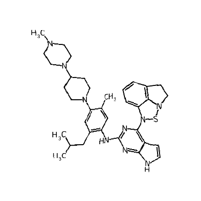 Cc1cc(Nc2nc(N3SN4CCc5cccc3c54)c3cc[nH]c3n2)c(CC(C)C)cc1N1CCC(N2CCN(C)CC2)CC1